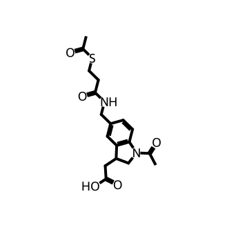 CC(=O)SCCC(=O)NCc1ccc2c(c1)C(CC(=O)O)CN2C(C)=O